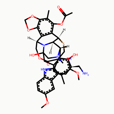 COc1ccc2[nH]c3c(c2c1)C[C@H](CN)N[C@]31CS[C@@H]2c3c(OC(C)=O)c(C)c4c(c3[C@H](COC1=O)N1[C@@H]2[C@@H]2c3c(cc(C)c(OC)c3O)CC1(O)CN2C)OCO4